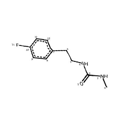 CNC(=O)NCCc1ccc(F)cc1